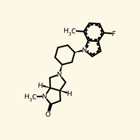 Cc1ccc(F)c2ccn([C@@H]3CCC[C@H](N4C[C@@H]5CC(=O)N(C)[C@@H]5C4)C3)c12